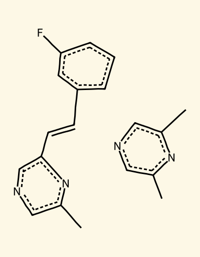 Cc1cncc(C)n1.Cc1cncc(C=Cc2cccc(F)c2)n1